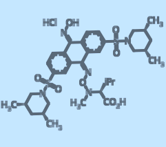 CC(C)[C@@H](C(=O)O)N(C)ON=C1c2cc(S(=O)(=O)N3C[C@H](C)C[C@H](C)C3)ccc2C(=NO)c2ccc(S(=O)(=O)N3C[C@H](C)C[C@H](C)C3)cc21.Cl